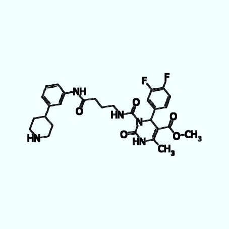 COC(=O)C1=C(C)NC(=O)N(C(=O)NCCCC(=O)Nc2cccc(C3CCNCC3)c2)C1c1ccc(F)c(F)c1